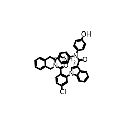 NC[C@@H]1Cc2ccccc2CN1C(=O)c1ccc(Cl)cc1-n1cc(C(=O)N(c2ccccc2)c2ccc(O)cc2)c2ccccc21